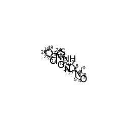 CC1COCCN1c1ccc(C(=O)Nc2nc(-c3ccccc3Cl)cs2)nc1